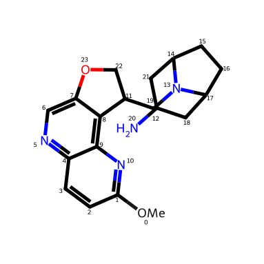 COc1ccc2ncc3c(c2n1)C(CN1C2CCC1CC(N)C2)CO3